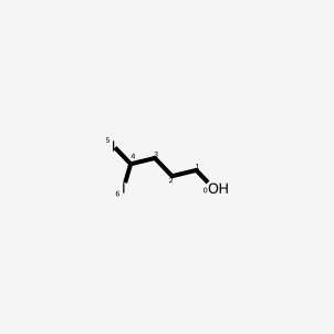 OCCCC(I)I